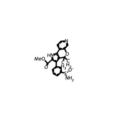 COC(=O)c1[nH]c2c(c1-c1cccc([S+](N)[O-])c1)C(C)(C)Oc1cnccc1-2